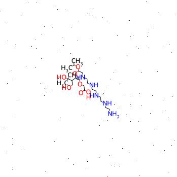 CC(C)OC(CNCCNCCNCCNCCN)OC(COCC(=O)O)C(CO)C(C)(C)O